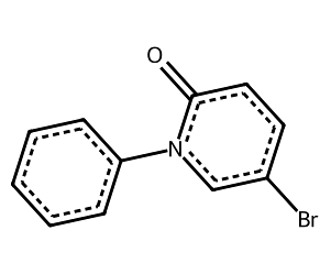 O=c1ccc(Br)cn1-c1ccccc1